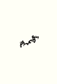 C=C(/C=C\C(=C)c1c2ccccc2c(/C(C)=C/C=C\C)c2ccccc12)/C(C)=C/C=C1\Cc2ccc3cc4sc5ccccc5c4cc3c2O1